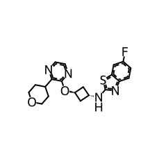 Fc1ccc2nc(N[C@H]3C[C@H](Oc4nccnc4C4CCOCC4)C3)sc2c1